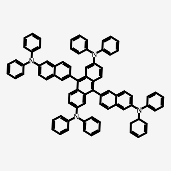 C1=CCC(N(c2ccccc2)c2ccc3cc(-c4c5ccc(N(c6ccccc6)c6ccccc6)cc5c(-c5ccc6cc(N(c7ccccc7)c7ccccc7)ccc6c5)c5ccc(N(c6ccccc6)c6ccccc6)cc45)ccc3c2)C=C1